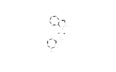 O=S(=O)(Nc1cccc(F)n1)n1ncc2ccccc21